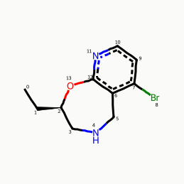 CC[C@@H]1CNCc2c(Br)ccnc2O1